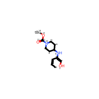 C/C=C\C(=C/O)NC1CCN(C(=O)OC(C)(C)C)CC1